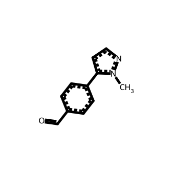 Cn1nccc1-c1ccc(C=O)cc1